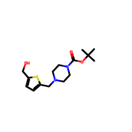 CC(C)(C)OC(=O)N1CCN(Cc2ccc(CO)s2)CC1